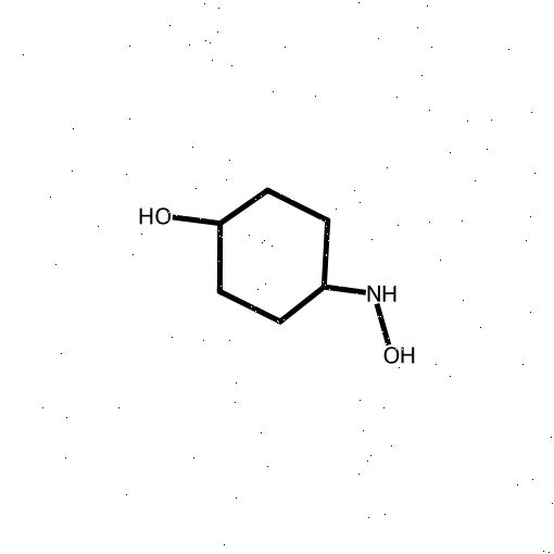 ONC1CCC(O)CC1